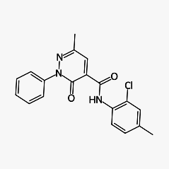 Cc1ccc(NC(=O)c2cc(C)nn(-c3ccccc3)c2=O)c(Cl)c1